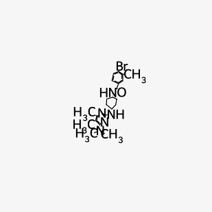 Cc1cc(C(=O)N[C@H]2CC[C@@H](Nc3nc(C)c(C)c(N(C)C)n3)CC2)ccc1Br